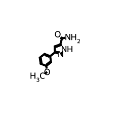 COc1cccc(-c2cc(C(N)=O)[nH]n2)c1